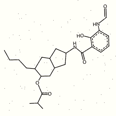 CCCCC1CC2CC(NC(=O)c3cccc(NC=O)c3O)CC2CC1OC(=O)C(C)C